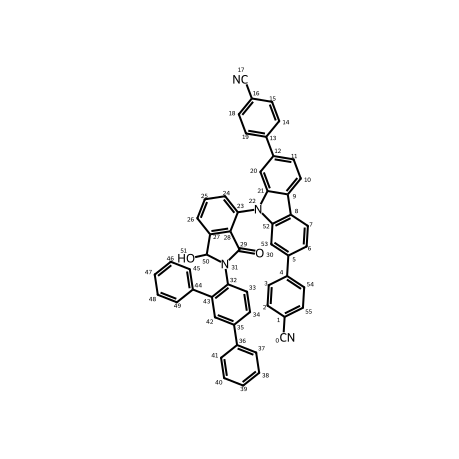 N#Cc1ccc(-c2ccc3c4ccc(-c5ccc(C#N)cc5)cc4n(-c4cccc5c4C(=O)N(c4ccc(-c6ccccc6)cc4-c4ccccc4)C5O)c3c2)cc1